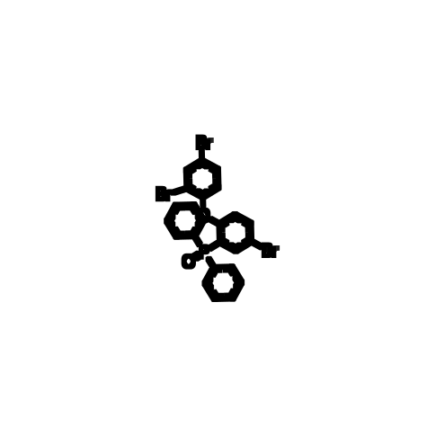 O=P(c1ccccc1)(c1ccccc1)c1cc(Br)ccc1Oc1ccc(Br)cc1Br